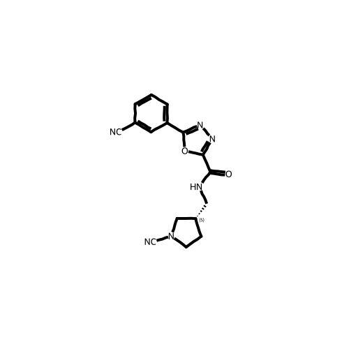 N#Cc1cccc(-c2nnc(C(=O)NC[C@@H]3CCN(C#N)C3)o2)c1